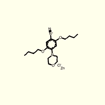 CCCCOc1cc(N2CCOCC2)c(OCCCC)cc1[N+]#N.[Cl-].[Zn]